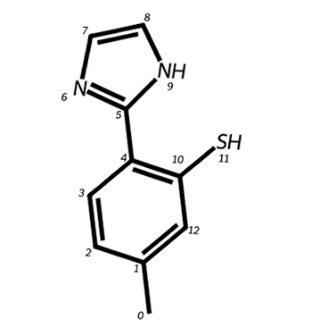 Cc1ccc(-c2ncc[nH]2)c(S)c1